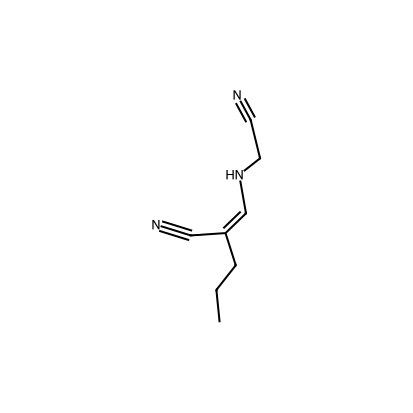 CCCC(C#N)=CNCC#N